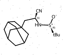 CC(C)(C)[S@+]([O-])N[C@H](C#N)CC12CC3CC(CC(C3)C1)C2